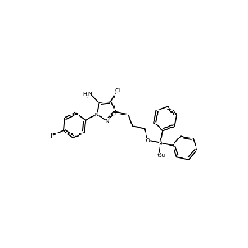 CC(C)(C)[Si](OCCCc1nn(-c2ccc(F)cc2)c(N)c1Cl)(c1ccccc1)c1ccccc1